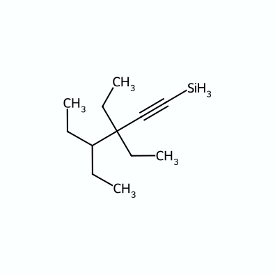 CCC(CC)C(C#C[SiH3])(CC)CC